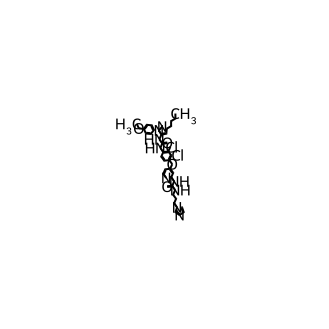 CCCCc1cc(NC(=O)Nc2ccc(Oc3ccnc(NC(=O)NCCCn4ccnc4)c3)c(Cl)c2Cl)n(-c2ccc(OC)cc2)n1